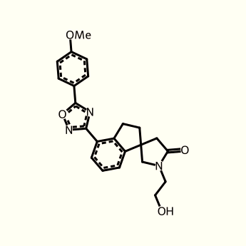 COc1ccc(-c2nc(-c3cccc4c3CCC43CC(=O)N(CCO)C3)no2)cc1